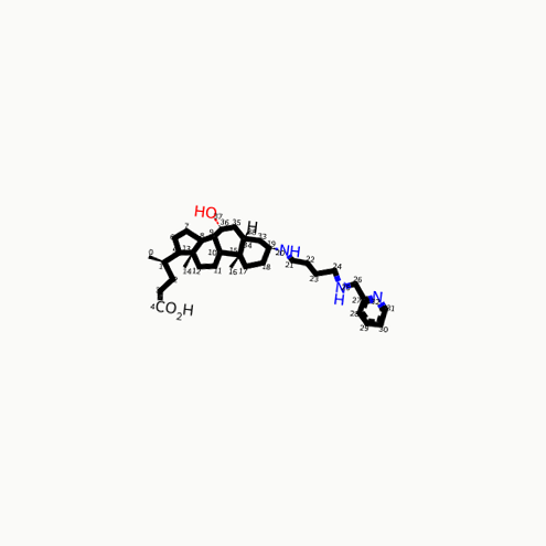 C[C@H](CCC(=O)O)C1CCC2C3C(CC[C@@]21C)[C@@]1(C)CC[C@@H](NCCCCNCc2ccccn2)C[C@@H]1C[C@H]3O